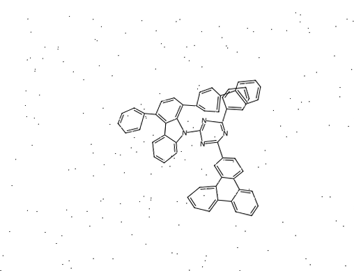 c1ccc(-c2ccc(-c3ccc(-c4ccccc4)c4c5ccccc5n(-c5nc(-c6ccccc6)nc(-c6ccc7c8ccccc8c8ccccc8c7c6)n5)c34)cc2)cc1